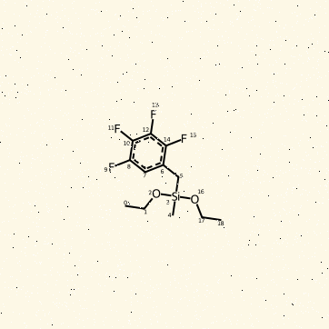 CCO[Si](C)(Cc1cc(F)c(F)c(F)c1F)OCC